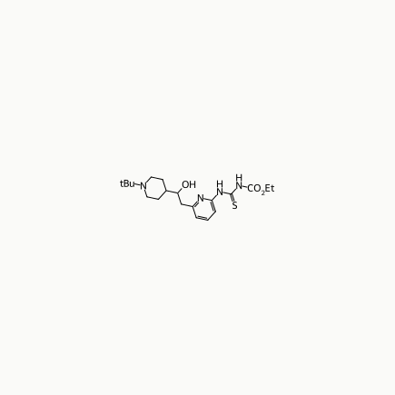 CCOC(=O)NC(=S)Nc1cccc(CC(O)C2CCN(C(C)(C)C)CC2)n1